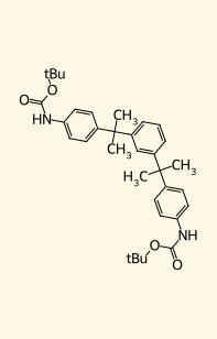 CC(C)(C)OC(=O)Nc1ccc(C(C)(C)c2cccc(C(C)(C)c3ccc(NC(=O)OC(C)(C)C)cc3)c2)cc1